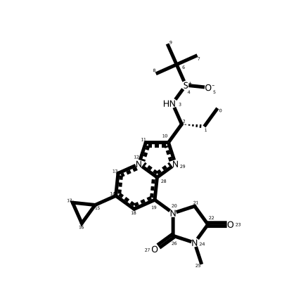 CC[C@@H](N[S+]([O-])C(C)(C)C)c1cn2cc(C3CC3)cc(N3CC(=O)N(C)C3=O)c2n1